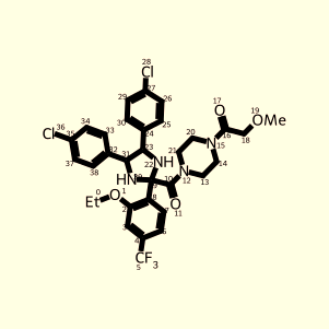 CCOc1cc(C(F)(F)F)ccc1C1(C(=O)N2CCN(C(=O)COC)CC2)NC(c2ccc(Cl)cc2)C(c2ccc(Cl)cc2)N1